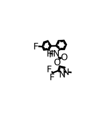 Cn1cc(OC(=O)Nc2ccccc2-c2ccc(F)cc2F)c(C(F)F)n1